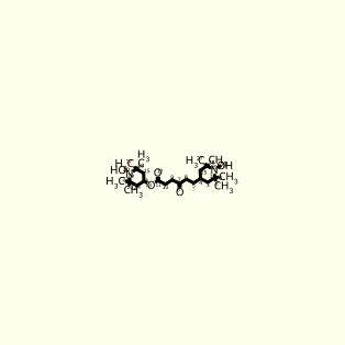 CC1(C)CC(CCC(=O)CCC(=O)OC2CC(C)(C)N(O)C(C)(C)C2)CC(C)(C)N1O